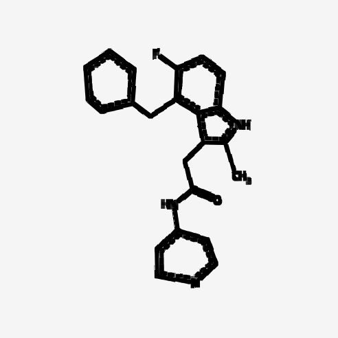 Cc1[nH]c2ccc(F)c(Cc3ccccc3)c2c1CC(=O)Nc1ccncc1